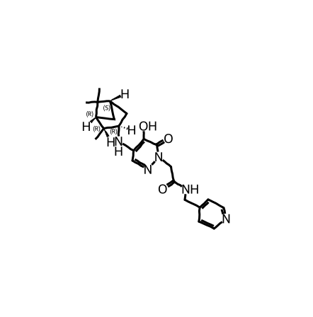 C[C@@H]1[C@H]2C[C@@H](C[C@H]1Nc1cnn(CC(=O)NCc3ccncc3)c(=O)c1O)C2(C)C